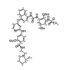 COc1cc(Nc2cc(Oc3ccc(NC(=O)Nc4cc(C(C)(C)C)cc(NS(C)(=O)=O)c4OC)c4ccccc34)ccn2)ccc1C(=O)NCCN1CCCCC1F